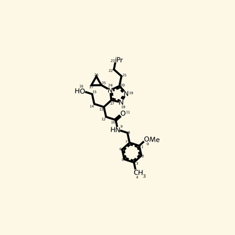 COc1cc(C)ccc1CNC(=O)CC(CCO)c1nnc(CCC(C)C)n1C1CC1